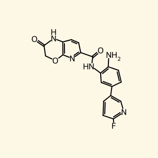 Nc1ccc(-c2ccc(F)nc2)cc1NC(=O)c1ccc2c(n1)OCC(=O)N2